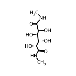 CNC(=O)[C@@H](O)[C@H](O)[C@H](O)[C@@H](O)C(=O)NC